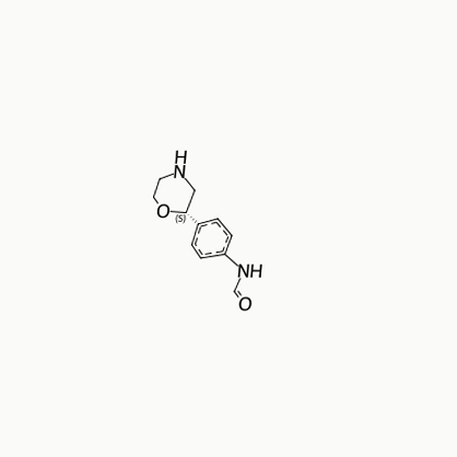 O=CNc1ccc([C@H]2CNCCO2)cc1